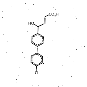 O=C(O)C=CC(O)c1ccc(-c2ccc(Cl)cc2)cc1